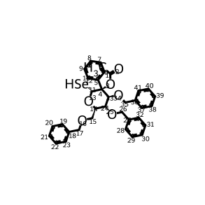 CC(=O)O[C@]1(c2ccccc2)[C@@H]([SeH])O[C@H](COCc2ccccc2)[C@@H](OCc2ccccc2)[C@@H]1OCc1ccccc1